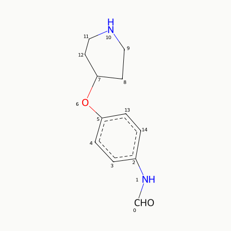 O=CNc1ccc(OC2CCNCC2)cc1